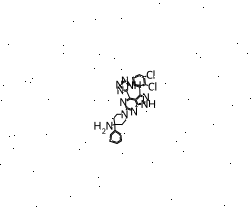 NC1(c2ccccc2)CCN(c2nc(-c3nnn[nH]3)c3c(-c4cccc(Cl)c4Cl)n[nH]c3n2)CC1